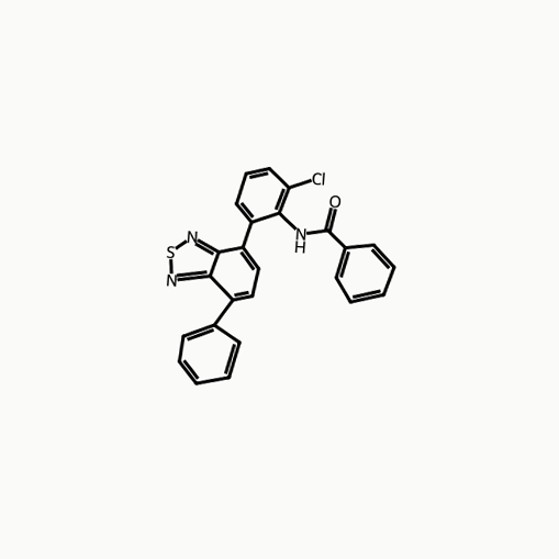 O=C(Nc1c(Cl)cccc1-c1ccc(-c2ccccc2)c2nsnc12)c1ccccc1